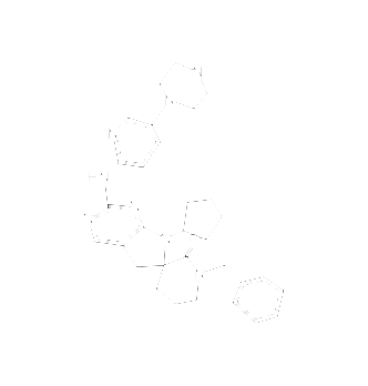 O=C1N(Cc2ccccc2)CCCC12Cc1cnc(Nc3ccc(N4CCNCC4)cn3)nc1N2C1CCCC1